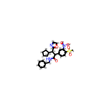 CS(=O)(=O)c1ccc(C(C(=O)NCc2ccccc2)C(c2ncco2)C2CCCC2)cc1[N+](=O)[O-]